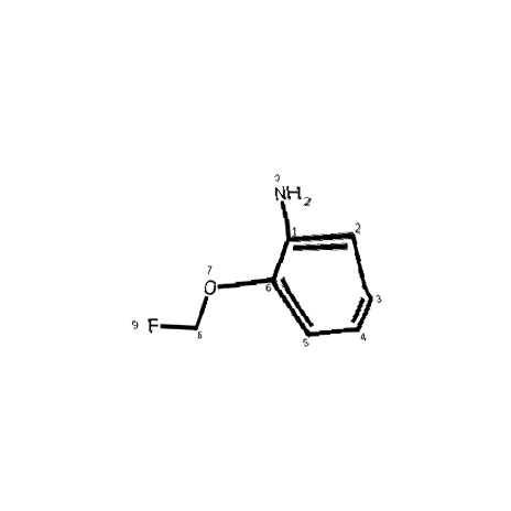 Nc1ccccc1OCF